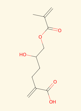 C=C(C)C(=O)OCC(O)CCC(=C)C(=O)O